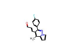 Cc1c(C=CC=O)c(-c2ccc(F)cc2)nn2cccc12